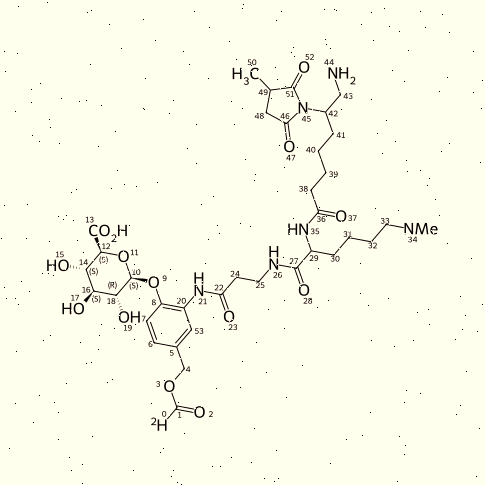 [2H]C(=O)OCc1ccc(O[C@@H]2O[C@H](C(=O)O)[C@@H](O)[C@H](O)[C@H]2O)c(NC(=O)CCNC(=O)C(CCCCNC)NC(=O)CCCCC(CN)N2C(=O)CC(C)C2=O)c1